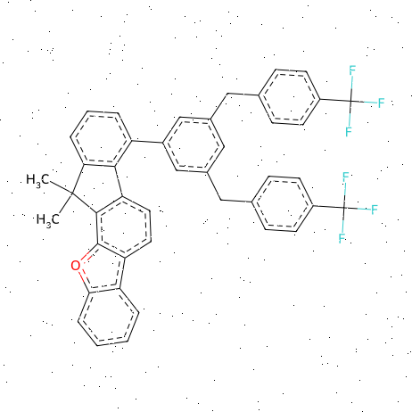 CC1(C)c2cccc(-c3cc(Cc4ccc(C(F)(F)F)cc4)cc(Cc4ccc(C(F)(F)F)cc4)c3)c2-c2ccc3c(oc4ccccc43)c21